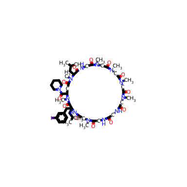 CC(C)CC1C(=O)NCC(=O)N(C)CC(=O)N(C)CC(=O)N(C)CC(=O)N(C)CC(=O)NCC(=O)NCC(=O)N(C)CC(=O)NC(Cc2cccc(I)c2)(CC(C)C)C(=O)N(C)C(C(=O)N2CCCCC2)CC(=O)N1C